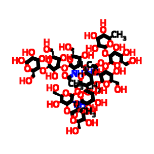 CC(=O)N[C@H]1[C@H](O[C@H]2[C@@H](O)[C@@H](CO)O[C@@H](O[C@H]3[C@H](O)[C@@H](O)[C@H](O)O[C@@H]3CO)[C@@H]2O)O[C@H](CO)[C@@H](O)[C@@H]1O[C@@H]1O[C@H](CO[C@@H]2O[C@H](CO)[C@@H](O)[C@H](O[C@@H]3O[C@H](CO)[C@H](O)[C@H](O)[C@H]3O[C@@H]3O[C@@H](C)[C@@H](O)[C@@H](O)[C@@H]3O)[C@H]2NC(C)=O)[C@H](O)[C@H](O[C@@H]2O[C@H](CO)[C@@H](O)[C@H](O[C@@H]3O[C@H](CO)[C@H](O)[C@H](O)[C@H]3O[C@@H]3O[C@@H](C)[C@@H](O)[C@@H](O)[C@@H]3O)[C@H]2NC(C)=O)[C@H]1O